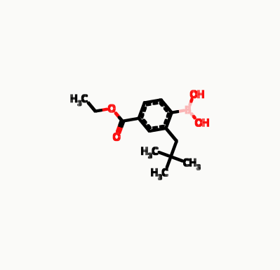 CCOC(=O)c1ccc(B(O)O)c(CC(C)(C)C)c1